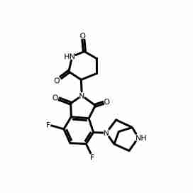 O=C1CCC(N2C(=O)c3c(F)cc(F)c(N4CC5CC4CN5)c3C2=O)C(=O)N1